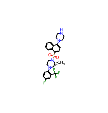 C[C@@H]1CN(c2ccc(F)cc2C(F)(F)F)CCN1S(=O)(=O)c1ccc(N2CCNCC2)c2ccccc12